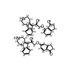 O=C1CCc2cc(OCC(=O)c3c4n(c5ccccc35)CCNCC4)ccc21.O=C1CCc2cccc(OCC(=O)c3c4n(c5ccccc35)CCNCC4)c21